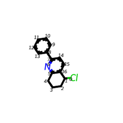 ClC1CCCc2nc(-c3ccccc3)ccc21